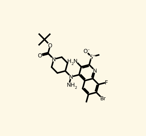 Cc1cc2c(N(N)C3CCN(C(=O)OC(C)(C)C)CC3)c(N)c([S+](C)[O-])nc2c(F)c1Br